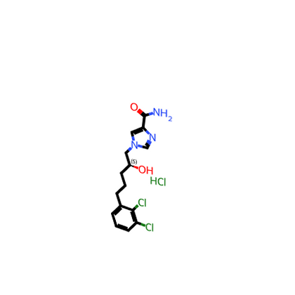 Cl.NC(=O)c1cn(C[C@@H](O)CCCc2cccc(Cl)c2Cl)cn1